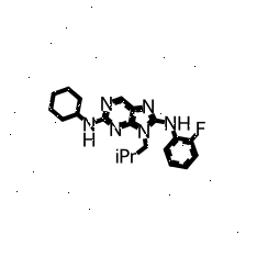 CC(C)Cn1c(Nc2ccccc2F)nc2cnc(NC3CCCCC3)nc21